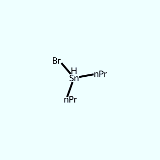 CC[CH2][SnH]([Br])[CH2]CC